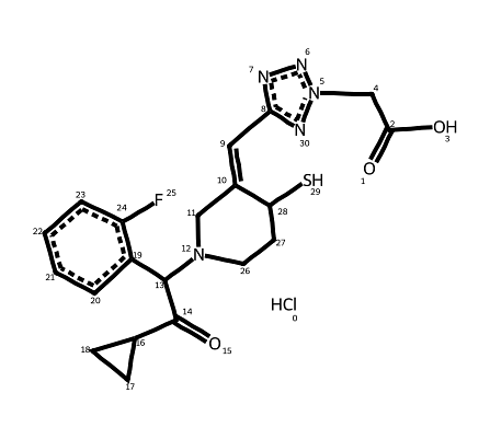 Cl.O=C(O)Cn1nnc(/C=C2/CN(C(C(=O)C3CC3)c3ccccc3F)CCC2S)n1